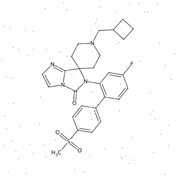 CS(=O)(=O)c1ccc(-c2ccc(F)cc2N2C(=O)n3ccnc3C23CCN(CC2CCC2)CC3)cc1